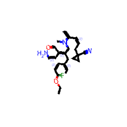 C=C(/C=C\CC1(C#N)CC1)N(C)C/C(CC(/C=C\C(F)OCC)=C/C)=C(C=O)/C=C\N